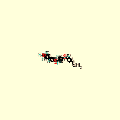 CCCc1ccc(C(F)(F)Oc2cc(F)c(C(F)(F)Oc3ccc(-c4cc(F)c(OCF)c(F)c4)c(F)c3)c(F)c2)c(F)c1